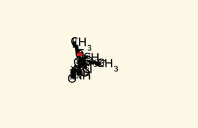 CCCCOC[C@@]1(C(C)F)OC(n2ccc(=O)[nH]c2=O)=C(Cl)[C@@H]1OCCCC